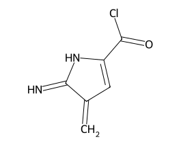 C=C1C=C(C(=O)Cl)NC1=N